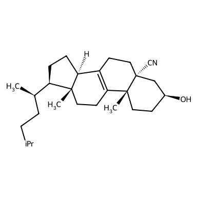 CC(C)CC[C@@H](C)[C@H]1CC[C@H]2C3=C(CC[C@]12C)[C@@]1(C)CC[C@H](O)C[C@]1(C#N)CC3